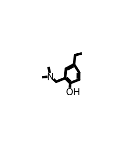 CCc1ccc(O)c(CN(C)C)c1